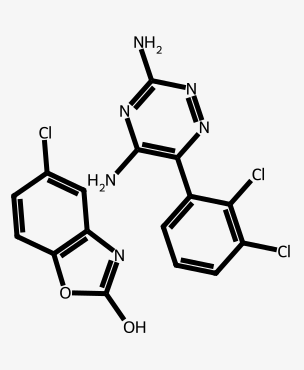 Nc1nnc(-c2cccc(Cl)c2Cl)c(N)n1.Oc1nc2cc(Cl)ccc2o1